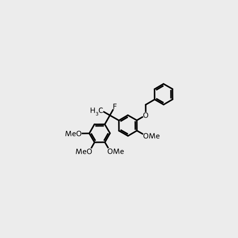 COc1ccc(C(C)(F)c2cc(OC)c(OC)c(OC)c2)cc1OCc1ccccc1